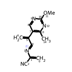 C=C(C#N)/N=C/C(=C)c1cnc(OC)nc1C